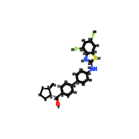 C[C@@H]1CCC[C@H]1C(=O)c1ccc(-c2ccc(Nc3nc4c(F)cc(F)cc4s3)cc2)cc1